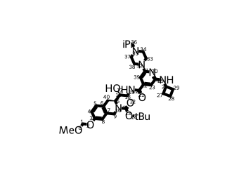 COCOc1ccc2c(c1)CN(C(=O)OC(C)(C)C)[C@H]([C@H](O)CNC(=O)c1cc(NC3CCC3)nc(N3CCN(C(C)C)CC3)c1)C2